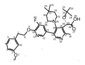 COc1cccc(CCOc2ncc(-c3cnc(C)c([C@H](OC(C)(C)C)C(=O)O)c3N3CCC(C)(C)CC3)cc2F)c1